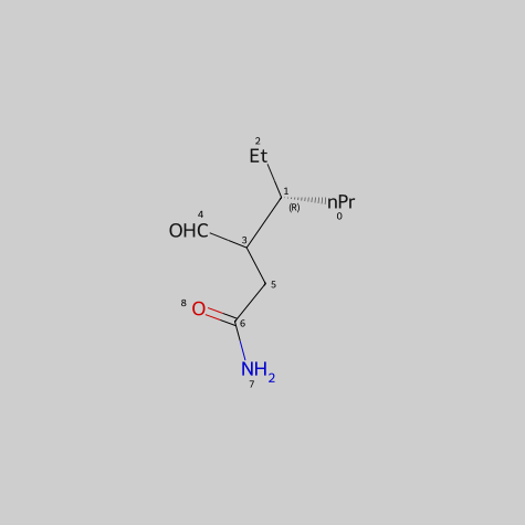 CCC[C@@H](CC)C(C=O)CC(N)=O